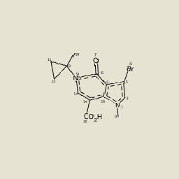 Cn1cc(Br)c2c(=O)n(C3(C)CC3)cc(C(=O)O)c21